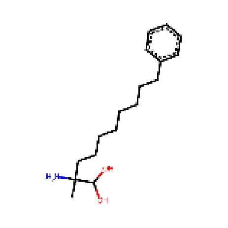 CC(N)(CCCCCCCCc1ccccc1)C(O)O